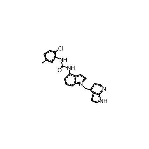 Cc1ccc(Cl)c(NC(=O)Nc2cccc3c2ccn3Cc2ccnc3[nH]ccc23)c1